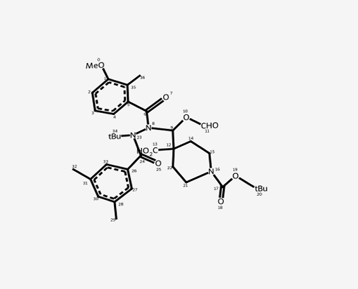 COc1cccc(C(=O)N(C(OC=O)C2(C(=O)O)CCN(C(=O)OC(C)(C)C)CC2)N(C(=O)c2cc(C)cc(C)c2)C(C)(C)C)c1C